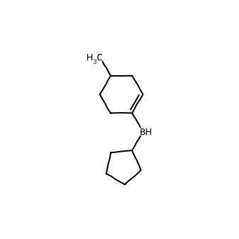 CC1CC=C(BC2CCCC2)CC1